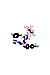 CCN(CC)CCN(Cc1ccc(-c2ccc(C(F)(F)F)cc2)cc1)C(=O)Cn1cc([S+](C)[O-])c(=O)nc1SCc1ccc(F)cc1.O=C(O)C(O)C(O)C(=O)O